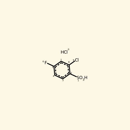 Cl.O=S(=O)(O)c1ccc(F)cc1Cl